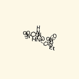 CCOc1ccc(CC(=O)Nc2n[nH]c3ccc(N4CCCS4(=O)=O)cc23)cc1S(=O)(=O)N1CCOCC1